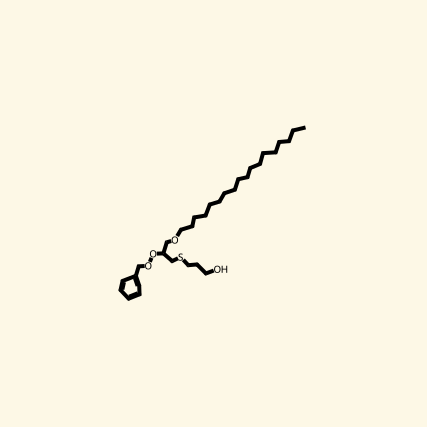 CCCCCCCCCCCCCCCCCCOCC(CSCCCO)OOCc1ccccc1